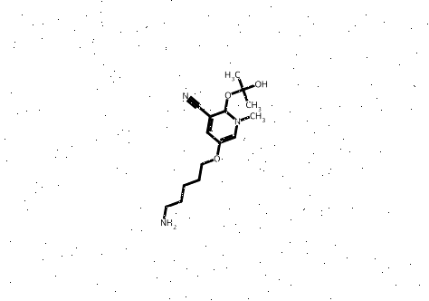 CN1C=C(OCCCCCN)C=C(C#N)C1OC(C)(C)O